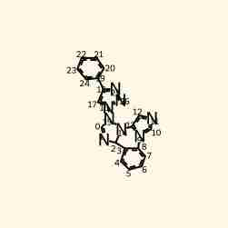 C1=NC2c3ccccc3-n3cncc3N2N1n1cc(-c2ccccc2)nn1